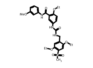 CCOc1cc(S(C)(=O)=O)c(OCC)cc1CNC(=O)Nc1ccc(OCC)c(C(=O)Nc2cccc(OC)c2)c1